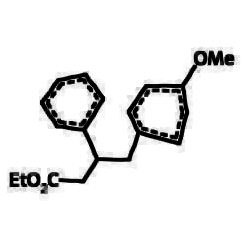 CCOC(=O)CC(Cc1ccc(OC)cc1)c1ccccc1